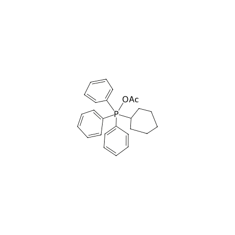 CC(=O)OP(c1ccccc1)(c1ccccc1)(c1ccccc1)C1CCCCC1